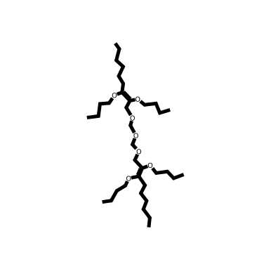 CCCCCCC(OCCCC)=C(COCOCOCC(OCCCC)=C(CCCCCC)OCCCC)OCCCC